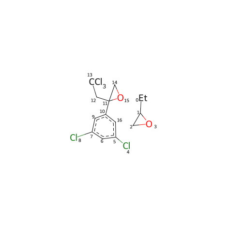 CCC1CO1.Clc1cc(Cl)cc(C2(CC(Cl)(Cl)Cl)CO2)c1